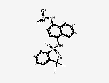 O=[SH](=O)Nc1ccc(NS(=O)(=O)c2ccccc2C(F)(F)F)c2ccccc12